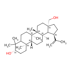 C=C(C)[C@@H]1CC[C@]2(CO)CC[C@]3(C)[C@H](CC[C@@H]4[C@@]5(C)CC[C@H](O)C(C)(C)C5CC[C@]43C)C12